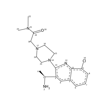 C[C@H](N)c1cc2cccc(Cl)c2nc1N1CCN(CC(=O)N(C)C)CC1